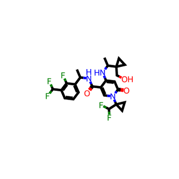 CC(NC(=O)c1cn(C2(C(F)F)CC2)c(=O)cc1NC(C)C1(CO)CC1)c1cccc(C(F)F)c1F